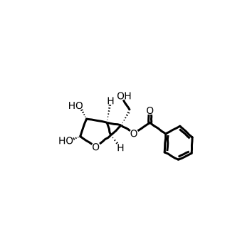 O=C(O[C@]1(CO)[C@@H]2[C@@H](O)[C@@H](O)O[C@@H]21)c1ccccc1